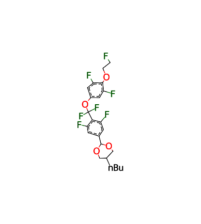 CCCCC1COC(c2cc(F)c(C(F)(F)Oc3cc(F)c(OCCF)c(F)c3)c(F)c2)OC1